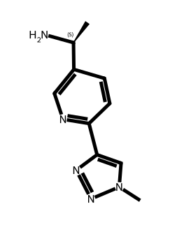 C[C@H](N)c1ccc(-c2cn(C)nn2)nc1